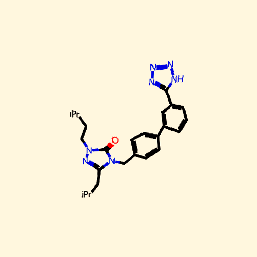 CC(C)CCn1nc(CC(C)C)n(Cc2ccc(-c3cccc(-c4nnn[nH]4)c3)cc2)c1=O